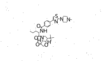 CC[C@H](C)[C@H](NC(=O)c1ccc(-c2csc(N3CCN(C)CC3)n2)cc1)C(=O)N1C[C@@H](C(C)(C)C)[C@H]2OCC(=O)[C@H]21